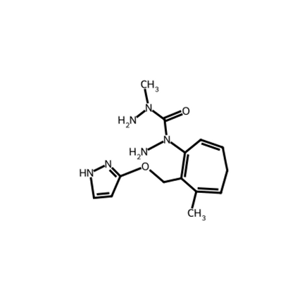 CC1=CCC=CC(N(N)C(=O)N(C)N)=C1COc1cc[nH]n1